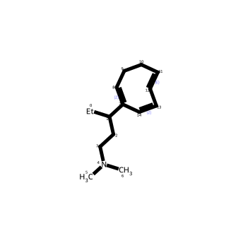 CCC(CCN(C)C)C1=C/CC/C=C/C=C\1